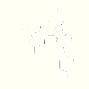 CC(C)C[C@H](C(=O)N1CCNC[C@@]1(C)c1ccc(-c2ccc(Br)cc2)cc1)[C@H](O)C(=O)NO